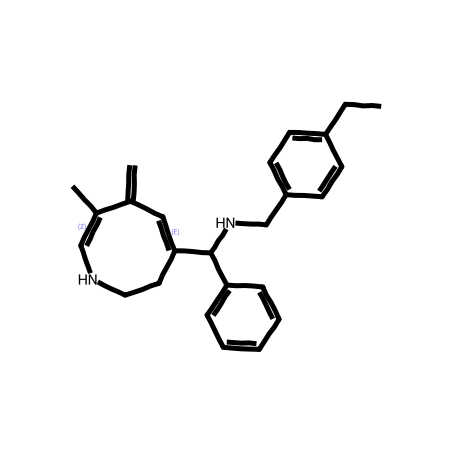 C=C1/C=C(/C(NCc2ccc(CC)cc2)c2ccccc2)CCN/C=C\1C